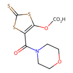 O=C(O)Oc1sc(=S)sc1C(=O)N1CCOCC1